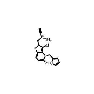 C#C[C@H](N)CC1SC2=CC=C(Cl)N(Cc3ccco3)C2=C1Cl